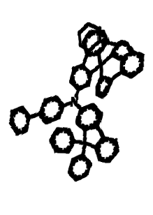 c1ccc(-c2ccc(N(c3ccc4c(c3)C(c3ccccc3)(c3ccccc3)c3ccccc3-4)c3ccc4c(c3)C3(c5ccccc5-4)c4ccccc4-c4cccc5ccc(C6CCCCC6)c3c45)cc2)cc1